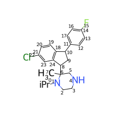 CC(C)N1CCNCC1(C)C1CC(c2ccc(F)cc2)c2ccc(Cl)cc21